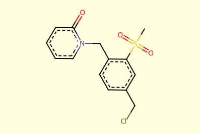 CS(=O)(=O)c1cc(CCl)ccc1Cn1ccccc1=O